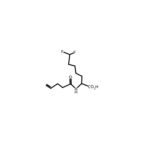 C=CCCC(=O)NC(CCCCC(F)F)C(=O)O